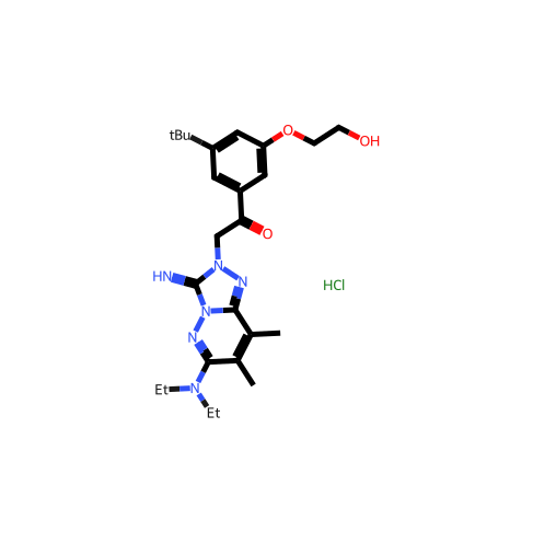 CCN(CC)c1nn2c(=N)n(CC(=O)c3cc(OCCO)cc(C(C)(C)C)c3)nc2c(C)c1C.Cl